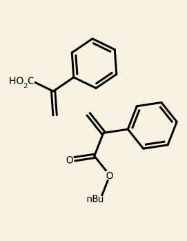 C=C(C(=O)O)c1ccccc1.C=C(C(=O)OCCCC)c1ccccc1